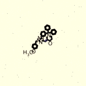 COc1ccc(Cn2nnc(/C=C3\CN(C(c4ccccc4)(c4ccccc4)c4ccccc4)CCC3=O)n2)cc1